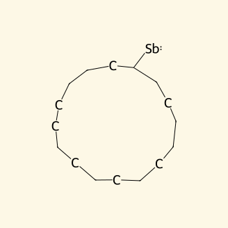 [Sb][CH]1CCCCCCCCCCCCCCC1